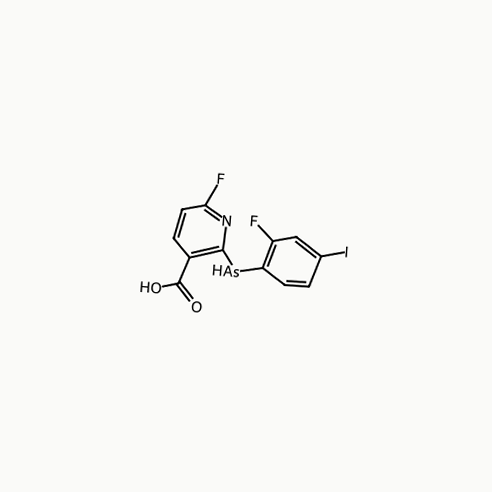 O=C(O)c1ccc(F)nc1[AsH]c1ccc(I)cc1F